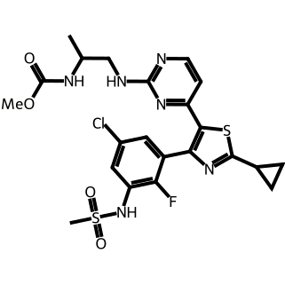 COC(=O)NC(C)CNc1nccc(-c2sc(C3CC3)nc2-c2cc(Cl)cc(NS(C)(=O)=O)c2F)n1